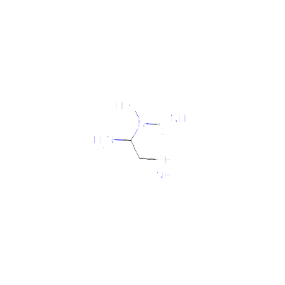 CCC(N)N(C)C.N.N